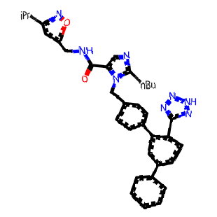 CCCCc1ncc(C(=O)NCc2cc(C(C)C)no2)n1Cc1ccc(-c2cc(-c3ccccc3)ccc2-c2nn[nH]n2)cc1